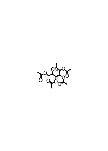 CC(=O)OCC1O[C@@H](C)C(OC(C)=O)C(OC(C)=O)[C@H]1OC(C)=O